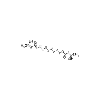 CC(S)CC(=O)OCCCCCCCCOC(=O)CC(C)S